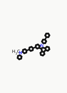 CN(c1ccccc1)c1ccc(-c2ccc(-c3ccc4c(c3)c3c5ccccc5c5ccccc5c3n4-c3ccc(-c4ccccc4)cc3)cc2)cc1